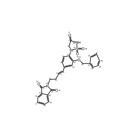 O=C1CN(c2ccc(/C=C/CCN3C(=O)c4ccccc4C3=O)cc2OCc2ccccc2)S(=O)(=O)N1